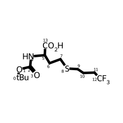 CC(C)(C)OC(=O)NC(CCSCCCC(F)(F)F)C(=O)O